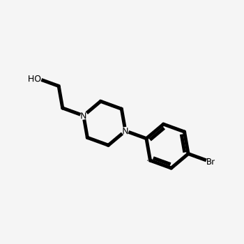 OCCN1CCN(c2[c]cc(Br)cc2)CC1